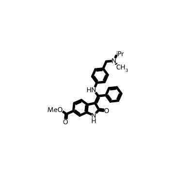 COC(=O)c1ccc2c(c1)NC(=O)C2=C(Nc1ccc(CN(C)C(C)C)cc1)c1ccccc1